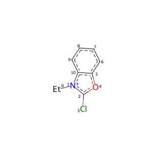 CC[n+]1c(Cl)oc2ccccc21